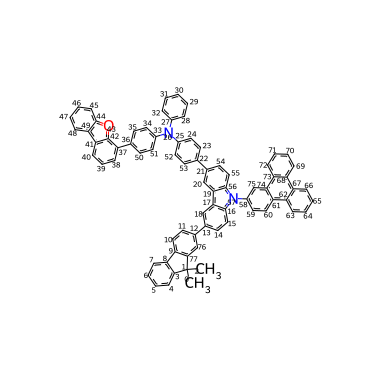 CC1(C)c2ccccc2-c2ccc(-c3ccc4c(c3)c3cc(-c5ccc(N(c6ccccc6)c6ccc(-c7cccc8c7oc7ccccc78)cc6)cc5)ccc3n4-c3ccc4c5ccccc5c5ccccc5c4c3)cc21